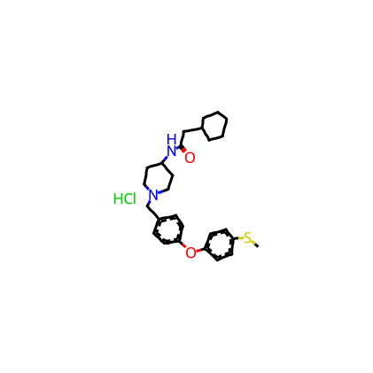 CSc1ccc(Oc2ccc(CN3CCC(NC(=O)CC4CCCCC4)CC3)cc2)cc1.Cl